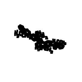 CC1(C)c2ccccc2-c2ccc(-c3ccc4c(c3)[Si](C)(C)c3cc5c6c(cccc6c3-4)[Si](C)(C)c3cc(-c4ccc6c(c4)C(C)(C)c4ccccc4-6)ccc3-5)cc21